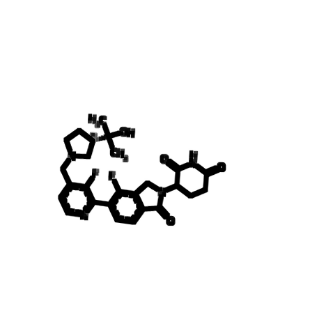 CC(C)(O)[C@H]1CCN(Cc2ccnc(-c3ccc4c(c3F)CN(C3CCC(=O)NC3=O)C4=O)c2F)C1